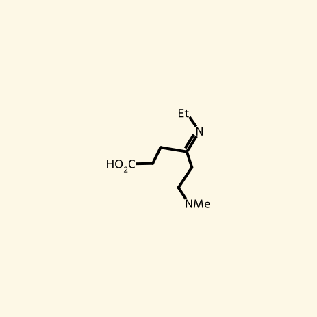 CCN=C(CCNC)CCC(=O)O